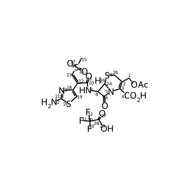 CC(=O)OCC1=C(C(=O)O)N2C(=O)C(NC(=O)/C(=C\S(C)(=O)=O)c3csc(N)n3)[C@H]2SC1.O=C(O)C(F)(F)F